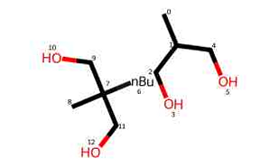 CC(CO)CO.CCCCC(C)(CO)CO